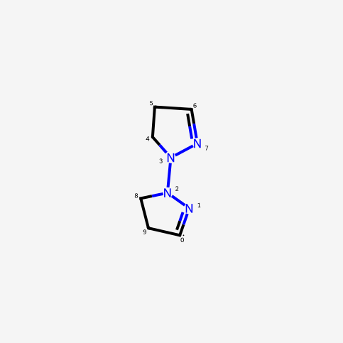 [C]1=NN(N2CCC=N2)CC1